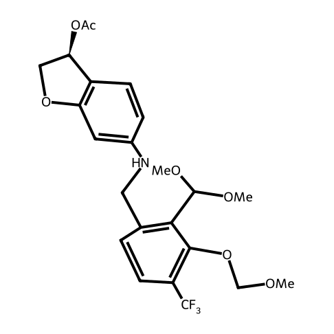 COCOc1c(C(F)(F)F)ccc(CNc2ccc3c(c2)OC[C@H]3OC(C)=O)c1C(OC)OC